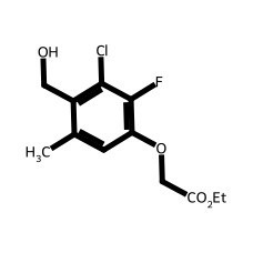 CCOC(=O)COc1cc(C)c(CO)c(Cl)c1F